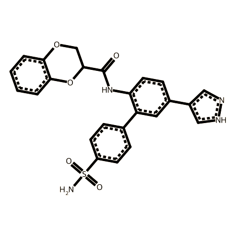 NS(=O)(=O)c1ccc(-c2cc(-c3cn[nH]c3)ccc2NC(=O)C2COc3ccccc3O2)cc1